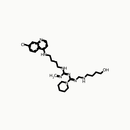 C=N/C(=N\C(=N/CNCCCCO)N1CCCCC1)NCCCCNc1ccnc2cc(Cl)ccc12